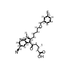 C[C@H](CC(=O)O)CC(=O)c1c(CCCCOCc2cccc(F)c2)n(C)c2ncc(C#N)cc12